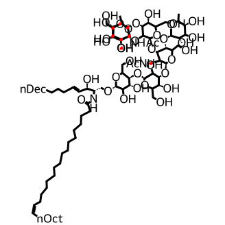 CCCCCCCC/C=C\CCCCCCCCCCCCCCCC(=O)N[C@@H](CO[C@@H]1OC(CO)[C@@H](O[C@@H]2OC(CO)[C@H](O)[C@H](O[C@@H]3OC(CO)[C@@H](O[C@H]4OC(C)[C@@H](O)C(O)[C@@H]4O)[C@H](O[C@@H]4OC(CO)[C@H](O)[C@H](O[C@H]5OC(CO)[C@H](O)[C@H](O)C5NC(C)=O)C4O[C@H]4OC(C)[C@@H](O)C(O)[C@@H]4O)C3NC(C)=O)C2O)[C@H](O)C1O)[C@H](O)/C=C/CCCCCCCCCCCCC